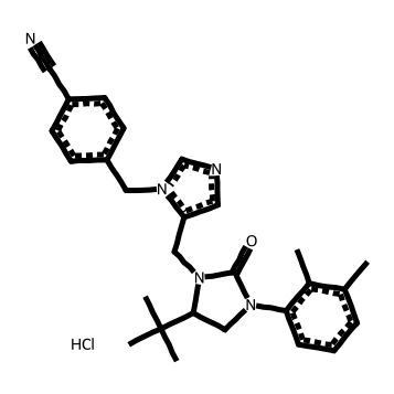 Cc1cccc(N2CC(C(C)(C)C)N(Cc3cncn3Cc3ccc(C#N)cc3)C2=O)c1C.Cl